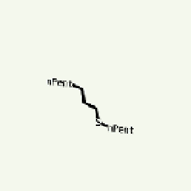 [CH2]CCCCSCCCCCCCC